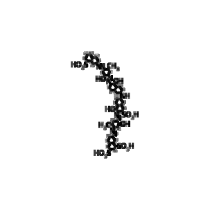 Cc1cc(N=Nc2ccc3cc(Nc4ccc5c(O)c(N=Nc6cc(C)c(N=Nc7ccc8cc(S(=O)(=O)O)cc(S(=O)(=O)O)c8c7)cc6O)c(S(=O)(=O)O)cc5c4)ccc3c2O)c(O)cc1N=Nc1ccc2cccc(S(=O)(=O)O)c2c1